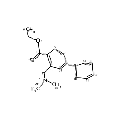 CCOC(=O)c1ccc(-c2ccccc2)cc1CN(C)C